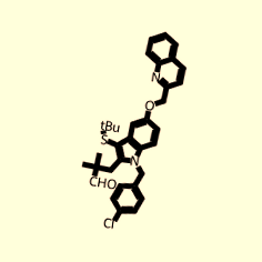 CC(C)(C=O)Cc1c(SC(C)(C)C)c2cc(OCc3ccc4ccccc4n3)ccc2n1Cc1ccc(Cl)cc1